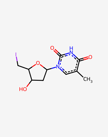 Cc1cn(C2CC(O)C(CI)O2)c(=O)[nH]c1=O